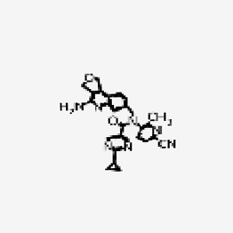 Cc1nc(C#N)ccc1N(Cc1ccc2c3c(c(N)nc2c1)COC3)C(=O)c1cnc(C2CC2)nc1